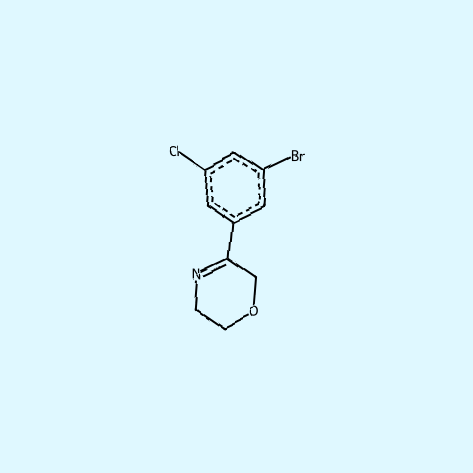 Clc1cc(Br)cc(C2=NCCOC2)c1